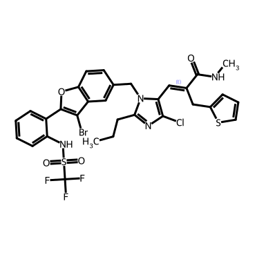 CCCc1nc(Cl)c(/C=C(\Cc2cccs2)C(=O)NC)n1Cc1ccc2oc(-c3ccccc3NS(=O)(=O)C(F)(F)F)c(Br)c2c1